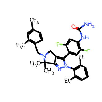 CCc1cccc(CC)c1-n1nc2c(c1-c1cc(F)c(NC(N)=O)cc1F)CN(Cc1ccc(C(F)(F)F)cc1C(F)(F)F)C2(C)C